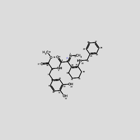 C/N=C(/C(=O)NC(Cc1ccc(O)c(O)c1)C(=O)OC)C1=C(NCc2ccccc2)CCCC1